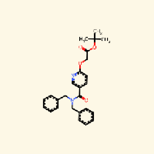 CC(C)(C)OC(=O)COc1ccc(C(=O)N(Cc2ccccc2)Cc2ccccc2)cn1